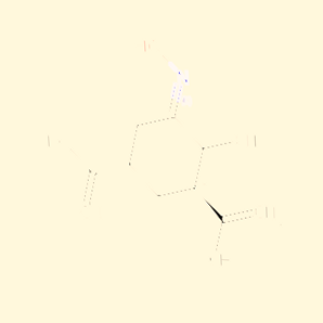 C=C(C)[C@@H]1C/C(=N\O)C(C)[C@@H](C(=C)C)C1